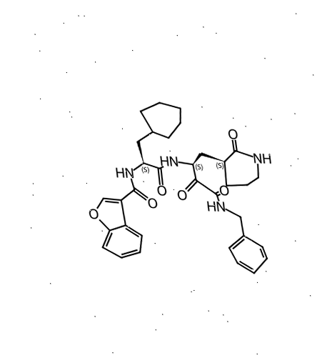 O=C(NCc1ccccc1)C(=O)[C@H](C[C@@H]1CCCNC1=O)NC(=O)[C@H](CC1CCCCC1)NC(=O)c1coc2ccccc12